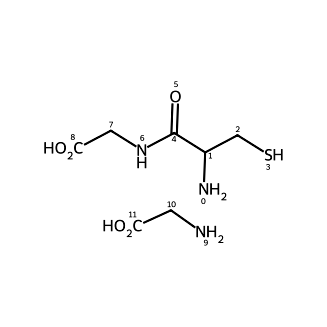 NC(CS)C(=O)NCC(=O)O.NCC(=O)O